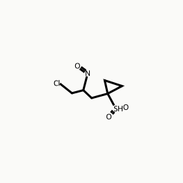 O=NC(CCl)CC1([SH](=O)=O)CC1